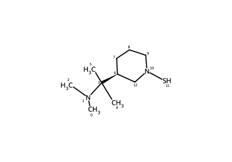 CN(C)C(C)(C)[C@H]1CCCN(S)C1